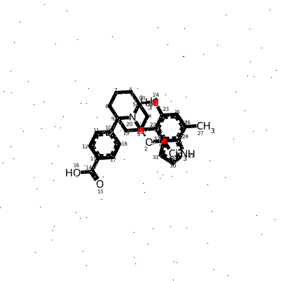 CCO[C@H]1C[C@H]2CCCC(c3ccc(C(=O)O)cc3)(C1)N2Cc1c(C)cc(C)c2[nH]ccc12